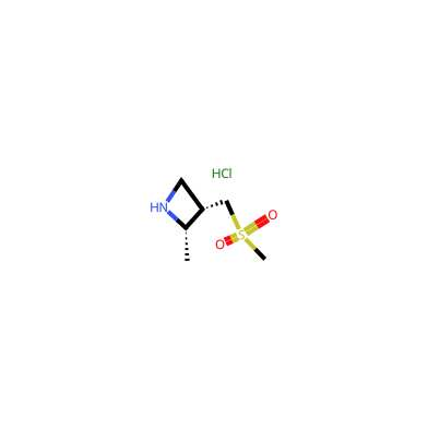 C[C@@H]1NC[C@@H]1CS(C)(=O)=O.Cl